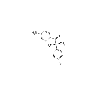 CC(C)(C(=O)c1ccc(N)cn1)c1ccc(Br)cc1